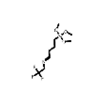 CO[Si](CCC/C=N/CC(F)(F)F)(OC)OC